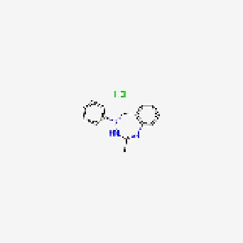 CC1=Nc2ccccc2CN(c2ccccc2)N1.Cl